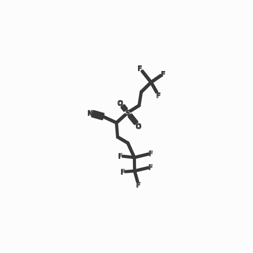 N#CC(CCC(F)(F)C(F)(F)F)S(=O)(=O)CCC(F)(F)F